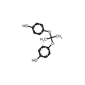 CC(C)(Oc1ccc(O)cc1)Oc1ccc(O)cc1